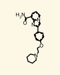 NC(=O)c1cccn2cc(-c3ccc(OCCN4CCCCC4)cc3)nc12